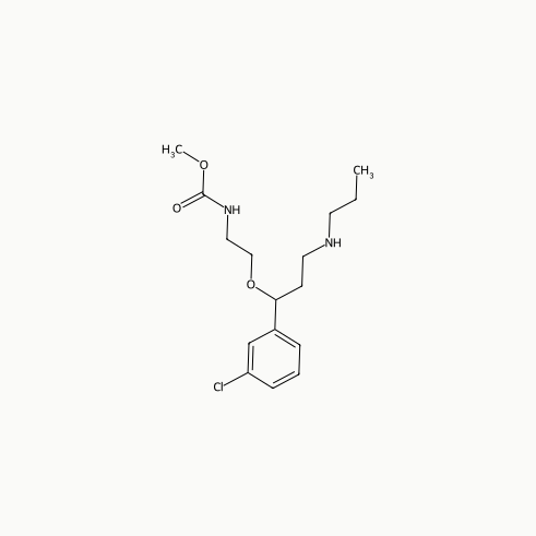 CCCNCCC(OCCNC(=O)OC)c1cccc(Cl)c1